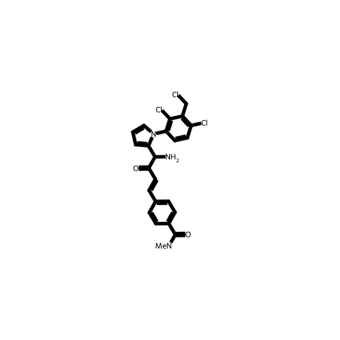 CNC(=O)c1ccc(/C=C/C(=O)C(N)c2cccn2-c2ccc(Cl)c(CCl)c2Cl)cc1